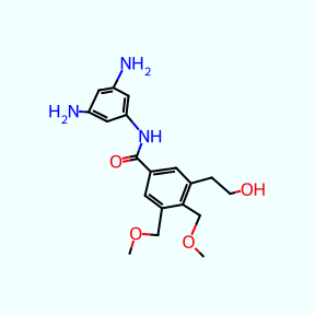 COCc1cc(C(=O)Nc2cc(N)cc(N)c2)cc(CCO)c1COC